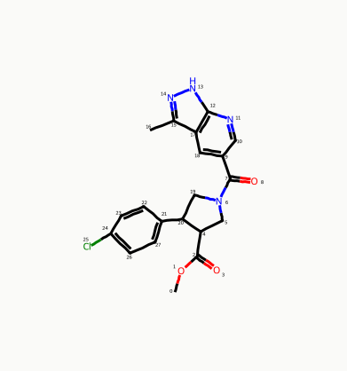 COC(=O)C1CN(C(=O)c2cnc3[nH]nc(C)c3c2)CC1c1ccc(Cl)cc1